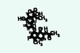 CC[C@@]1(O)C(=O)OCC2=C1C=C1C(Nc3cc(F)c(C)c4c3C(=O)[C@H](NC(C)=O)CC4)=CCN1C2O